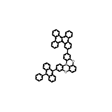 c1ccc(-c2c3ccccc3c(-c3ccc4c(c3)Oc3cccc5c3B4c3ccc(-c4ccc6c7ccccc7c7c8ccccc8c8ccccc8c7c6c4)cc3O5)c3ccccc23)cc1